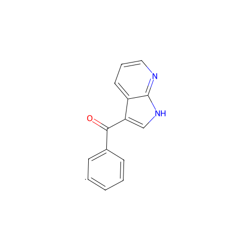 O=C(c1c[c]ccc1)c1c[nH]c2ncccc12